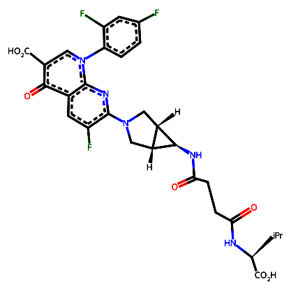 CC(C)[C@H](NC(=O)CCC(=O)N[C@H]1[C@@H]2CN(c3nc4c(cc3F)c(=O)c(C(=O)O)cn4-c3ccc(F)cc3F)C[C@@H]21)C(=O)O